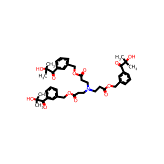 CC(C)(O)C(=O)c1cccc(COC(=O)CCN(CCC(=O)OCc2cccc(C(=O)C(C)(C)O)c2)CCC(=O)OCc2cccc(C(=O)C(C)(C)O)c2)c1